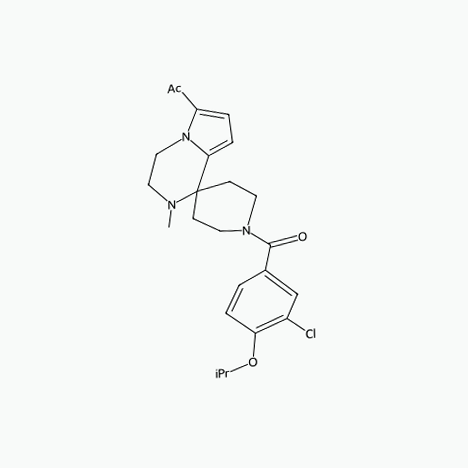 CC(=O)c1ccc2n1CCN(C)C21CCN(C(=O)c2ccc(OC(C)C)c(Cl)c2)CC1